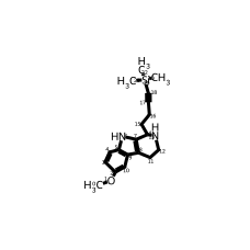 COc1ccc2[nH]c3c(c2c1)CCNC3CCC#C[Si](C)(C)C